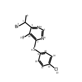 CC(Br)c1ncnc(Sc2ccc(Cl)cc2)c1F